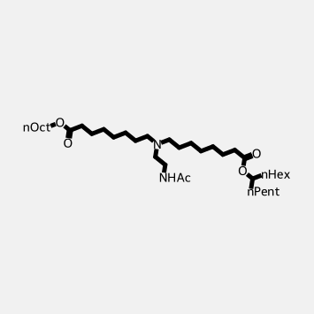 CCCCCCCCOC(=O)CCCCCCCN(CCCCCCCC(=O)OC(CCCCC)CCCCCC)CCNC(C)=O